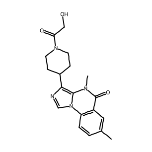 Cc1ccc2c(c1)c(=O)n(C)c1c(C3CCN(C(=O)CO)CC3)ncn21